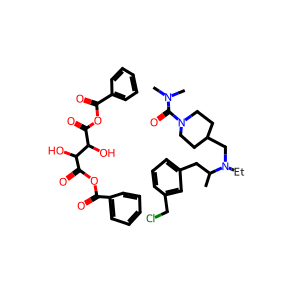 CCN(CC1CCN(C(=O)N(C)C)CC1)C(C)Cc1cccc(CCl)c1.O=C(OC(=O)C(O)C(O)C(=O)OC(=O)c1ccccc1)c1ccccc1